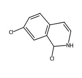 Clc1ccc2c(c1)C(Cl)NC=C2